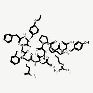 CCOc1ccc(C[C@@H](NC(=O)Cc2ccccc2)C(=O)N[C@@H](Cc2ccccc2)C(=O)N[C@@H](CCC(N)=O)C(=O)N[C@@H](CC(N)=O)C(=O)N[C@@H](CCCCN)C(=O)N2CCC[C@H]2C(=O)N[C@@H](CCCN=C(N)N)C(=O)N[C@@H](Cc2ccc(O)cc2)C(N)=O)cc1